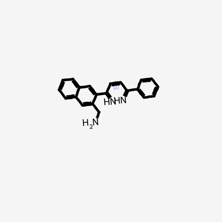 N=C(/C=C\C(=N)c1cc2ccccc2cc1CN)c1ccccc1